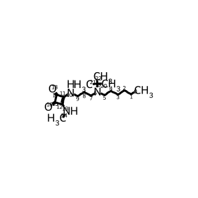 CCCCCCN(CCCNc1c(NC)c(=O)c1=O)C(C)(C)C